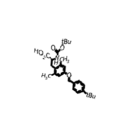 Cc1cc(OCc2ccc(C(C)(C)C)cc2)cc(C)c1C[C@H](NC(=O)OC(C)(C)C)C(=O)O